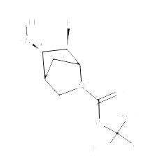 CN[C@@H]1C2CC([C@@H]1F)N(C(=O)OC(C)(C)C)C2